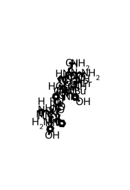 CCC(C)C(NC(=O)C(NC(=O)C(CC(N)=O)NC(=O)C(CCC(N)=O)NC(=O)C1CCCN1C(=O)C(NC(=O)C(Cc1ccc(O)cc1)NC(=O)CNC(=O)C(Cc1ccc(O)cc1)NC(=O)C(Cc1c[nH]c2ccccc12)NC(=O)C(Cc1cnc[nH]1)NC(=O)C(N)Cc1ccc(O)cc1)C(C)O)C(C)C)C(=O)O